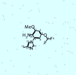 COc1cc(OC(F)F)cc(-n2cnc(C)c2)c1N